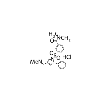 CNCc1cc(-c2ccccc2)n(S(=O)(=O)c2cccc(C(=O)N(C)C)c2)c1.Cl